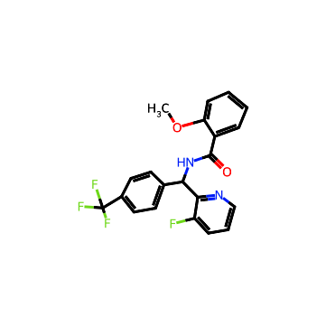 COc1ccccc1C(=O)NC(c1ccc(C(F)(F)F)cc1)c1ncccc1F